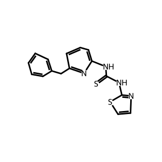 S=C(Nc1cccc(Cc2ccccc2)n1)Nc1nccs1